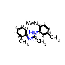 CNc1ccc(C)cc1N/C(C)=N\c1ccccc1C